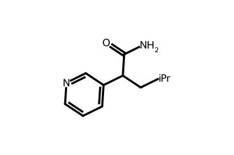 CC(C)CC(C(N)=O)c1cccnc1